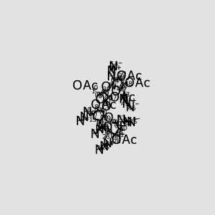 CC(=O)OC[C@H]1O[C@@H](O[C@@H]2[C@@H](OC(C)=O)[C@H](N=[N+]=[N-])C[C@H](N=[N+]=[N-])[C@H]2O[C@H]2O[C@H](CN=[N+]=[N-])[C@@H](OC(C)=O)C(F)(F)[C@H]2N=[N+]=[N-])[C@H](OC(C)=O)[C@@H]1O[C@H]1O[C@@H](CN=[N+]=[N-])[C@@H](OC(C)=O)[C@H](OC(C)=O)[C@H]1N=[N+]=[N-]